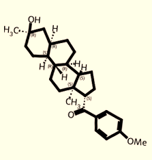 COc1ccc(C(=O)[C@H]2CC[C@H]3[C@@H]4CC[C@@H]5C[C@](C)(O)CC[C@@H]5[C@H]4CC[C@]23C)cc1